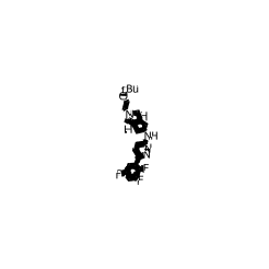 CC(C)(C)OCCN1C[C@H]2CC(Nc3ccc(-c4cc(F)cc(F)c4F)nn3)C[C@H]2C1